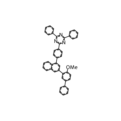 COc1ccc(-c2ccccc2)cc1-c1cc(-c2ccc(-c3nc(-c4ccccc4)nc(-c4ccccc4)n3)cc2)c2ccccc2c1